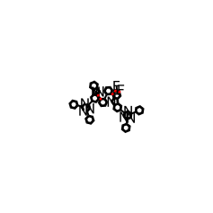 N#Cc1cccc(-n2c3ccccc3c3cc(-c4nc(-c5ccccc5)nc(-c5ccccc5)n4)ccc32)c1-c1cc(C(F)(F)F)ccc1-n1c2ccccc2c2cc(-c3nc(-c4ccccc4)nc(-c4ccccc4)n3)ccc21